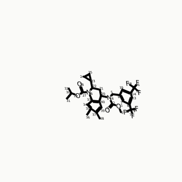 COC(=O)N(Cc1cc(C(F)(F)F)cc(C(F)(F)F)c1)C1CC(C2CC2)N(C(=O)OC(C)C)c2cc(C)c(C)cc21